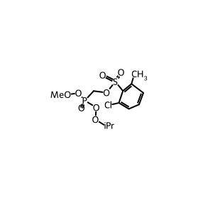 COOP(=O)(COS(=O)(=O)c1c(C)cccc1Cl)OOC(C)C